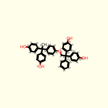 CC(c1ccc(O)cc1)(c1ccc(O)cc1)c1ccc(OCC(c2ccccc2)(c2ccc(O)cc2)c2ccc(O)cc2)cc1